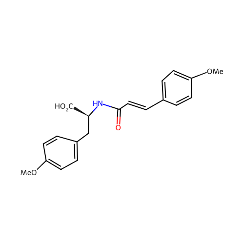 COc1ccc(/C=C/C(=O)N[C@@H](Cc2ccc(OC)cc2)C(=O)O)cc1